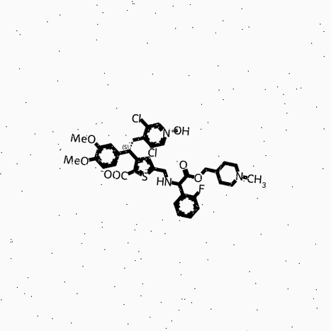 COc1ccc([C@H](Cc2c(Cl)c[n+](O)cc2Cl)c2cc(CNC(C(=O)OCC3CCN(C)CC3)c3ccccc3F)sc2C(=O)[O-])cc1OC